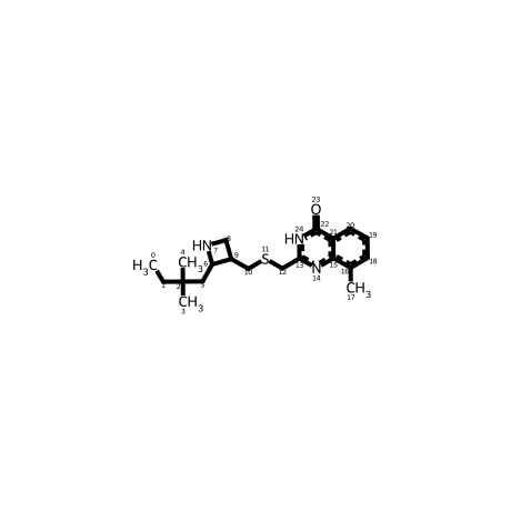 CCC(C)(C)CC1NCC1CSCc1nc2c(C)cccc2c(=O)[nH]1